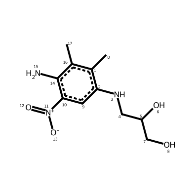 Cc1c(NCC(O)CO)cc([N+](=O)[O-])c(N)c1C